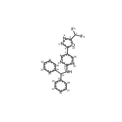 FC(F)c1nnc(-c2cnc(NC(c3ccccc3)c3ccccc3)nc2)o1